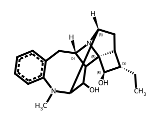 CC[C@H]1C2C[C@@H]3C4C(O)C5[C@H](Cc6ccccc6N4C)N3[C@]25[C@@H]1O